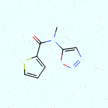 CN(C(=O)c1cccs1)c1cnno1